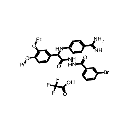 CCOc1cc(C(Nc2ccc(C(=N)N)cc2)C(=O)NNC(=O)c2cccc(Br)c2)ccc1OC(C)C.O=C(O)C(F)(F)F